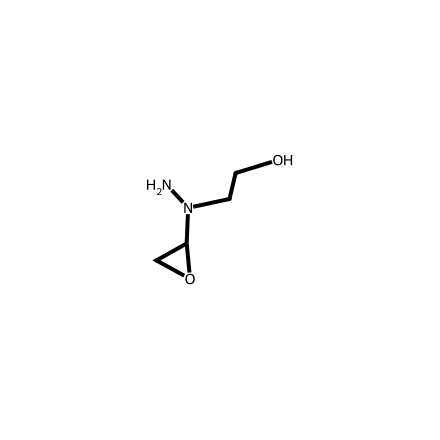 NN(CCO)C1CO1